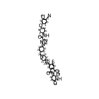 N#Cc1ccc(O[C@H]2CC[C@H](NC(=O)c3ncn([C@H]4CC[C@H](CN5CCC6(CC5)CN(c5cc7c(cc5F)C(=O)N(C5CCC(=O)NC5=O)C7=O)C6)CC4)n3)CC2)cc1Cl